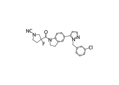 N#CN1CCC(F)(C(=O)N2CCc3cc(-c4ccnn4Cc4cccc(Cl)c4)ccc32)C1